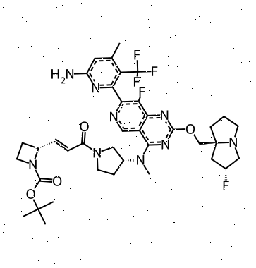 Cc1cc(N)nc(-c2ncc3c(N(C)[C@@H]4CCN(C(=O)/C=C/[C@H]5CCN5C(=O)OC(C)(C)C)C4)nc(OC[C@@]45CCCN4C[C@H](F)C5)nc3c2F)c1C(F)(F)F